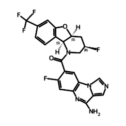 Nc1nc2cc(F)c(C(=O)N3C[C@H](F)C[C@@H]4Oc5cc(C(F)(F)F)ccc5[C@@H]43)cc2n2cncc12